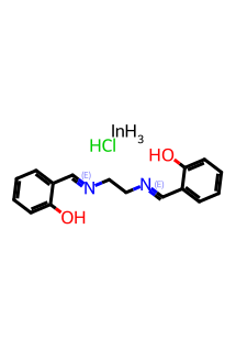 Cl.Oc1ccccc1/C=N/CC/N=C/c1ccccc1O.[InH3]